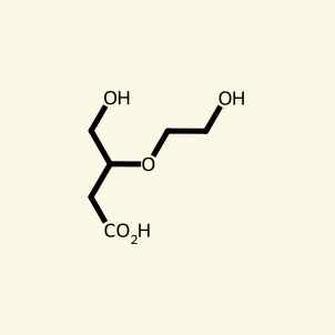 O=C(O)CC(CO)OCCO